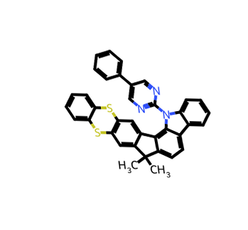 CC1(C)c2cc3c(cc2-c2c1ccc1c4ccccc4n(-c4ncc(-c5ccccc5)cn4)c21)Sc1ccccc1S3